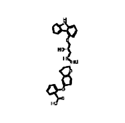 Cl.O=C(O)c1ccccc1Oc1ccc2c(c1)CC[C@H](CNC[C@H](O)COc1cccc3[nH]c4ccccc4c13)O2